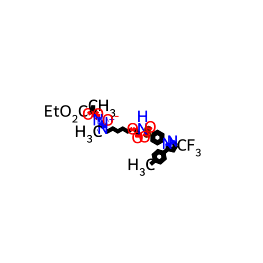 CCOC(=O)OC(C)O/N=[N+](\[O-])N(C)CCCCCOC(=O)NS(=O)(=O)c1ccc(-n2nc(C(F)(F)F)cc2-c2ccc(C)cc2)cc1